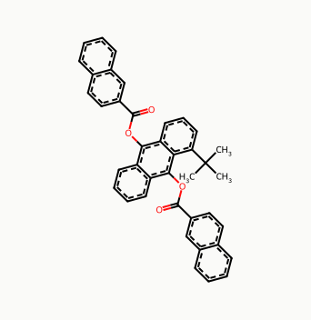 CC(C)(C)c1cccc2c(OC(=O)c3ccc4ccccc4c3)c3ccccc3c(OC(=O)c3ccc4ccccc4c3)c12